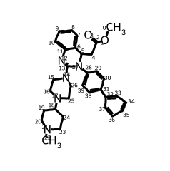 COC(=O)CC1c2ccccc2N=C(N2CCN(C3CCN(C)CC3)CC2)N1c1ccc(-c2ccccc2)cc1